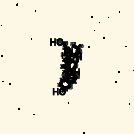 C[C@H]1C[C@H]2O[C@@]34CC[C@H]5[C@@H]6CC=C7C[C@@H](O)CC[C@]7(C)[C@H]6CC56CC63C[C@@H]4[C@@H]2N(CCO)C1